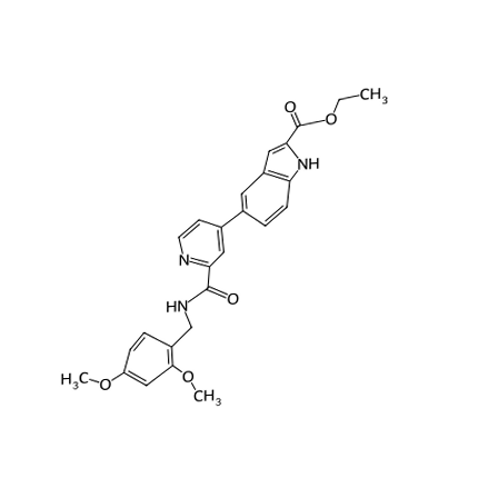 CCOC(=O)c1cc2cc(-c3ccnc(C(=O)NCc4ccc(OC)cc4OC)c3)ccc2[nH]1